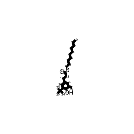 CCCCCCCCCCOC(=O)CCc1cc(C)c(O)c(C(C)(C)C)c1